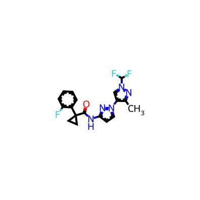 Cc1nn(C(F)F)cc1-n1ccc(NC(=O)C2(c3ccccc3F)CC2)n1